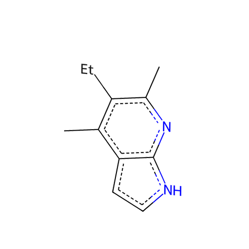 CCc1c(C)nc2[nH]ccc2c1C